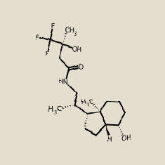 C[C@H](CNC(=O)C[C@](C)(O)C(F)(F)F)[C@H]1CC[C@H]2[C@@H](O)CCC[C@]12C